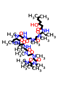 CC[C@H](NC(=O)CC(O)CCC(C)C)C(=O)N(C)CC(=O)N(C)CC(=O)NCC(=O)N(C)C(CC(C)C)C(=O)N[C@@H](C)C(=O)NC(C)C(=O)N(C)CC(=O)N(C)CC(=O)N(C)C(C(=O)N(C)C)C(C)C